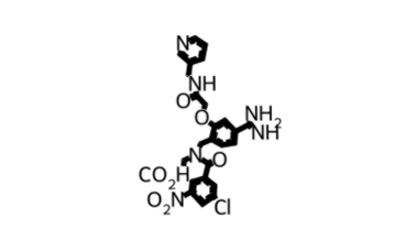 N=C(N)c1ccc(CN(CC(=O)O)C(=O)c2cc(Cl)cc([N+](=O)[O-])c2)c(OCC(=O)NCc2cccnc2)c1